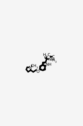 CC(C)NC(=O)c1cc2cc(OCCC3CCCN3C)ccc2[nH]1